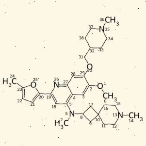 COc1cc2c(N(C)C3CC4(CCN(C)CC4)C3)cc(-c3ccc(C)o3)nc2cc1OCC1CCN(C)CC1